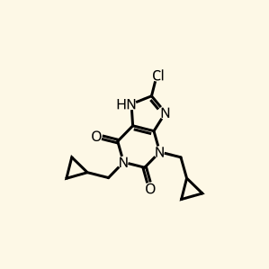 O=c1c2[nH]c(Cl)nc2n(CC2CC2)c(=O)n1CC1CC1